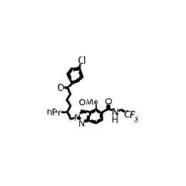 CCCC(CCCC(=O)c1ccc(Cl)cc1)Cn1cc2c(OC)c(C(=O)NCC(F)(F)F)ccc2n1